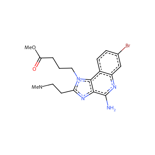 CNCCc1nc2c(N)nc3cc(Br)ccc3c2n1CCCC(=O)OC